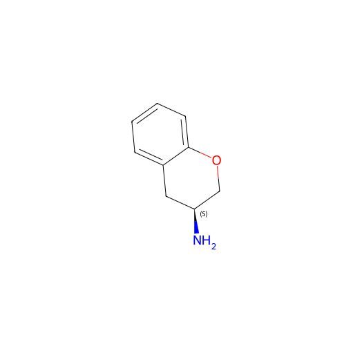 N[C@@H]1COc2ccccc2C1